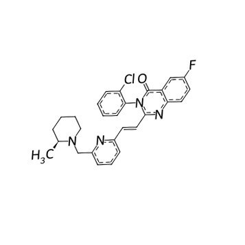 C[C@H]1CCCCN1Cc1cccc(C=Cc2nc3ccc(F)cc3c(=O)n2-c2ccccc2Cl)n1